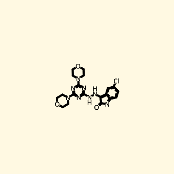 O=C1N=c2ccc(Cl)cc2=C1NNc1nc(N2CCOCC2)nc(N2CCOCC2)n1